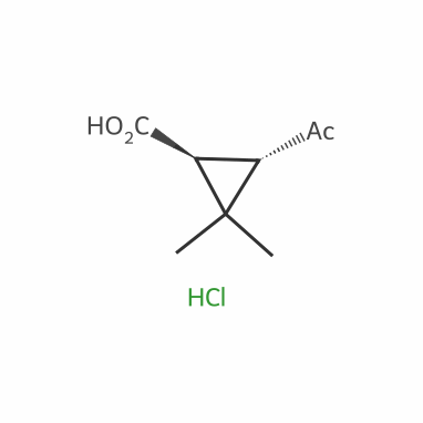 CC(=O)[C@H]1[C@H](C(=O)O)C1(C)C.Cl